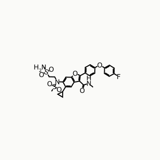 CNC(=O)c1c(-c2ccc(Oc3ccc(F)cc3)cc2)oc2cc(N(CCS(N)(=O)=O)S(C)(=O)=O)c(C3CC3)cc12